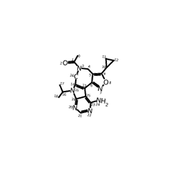 CC(=O)N1Cc2c(noc2C2CC2)-c2c(n(C(C)C)c3ncnc(N)c23)C1